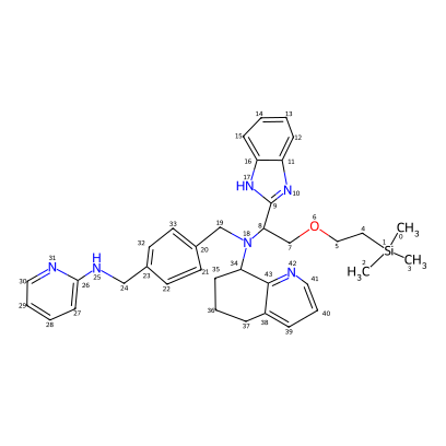 C[Si](C)(C)CCOCC(c1nc2ccccc2[nH]1)N(Cc1ccc(CNc2ccccn2)cc1)C1CCCc2cccnc21